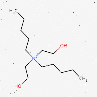 CCCCC[N+](CCO)(CCO)CCCCC